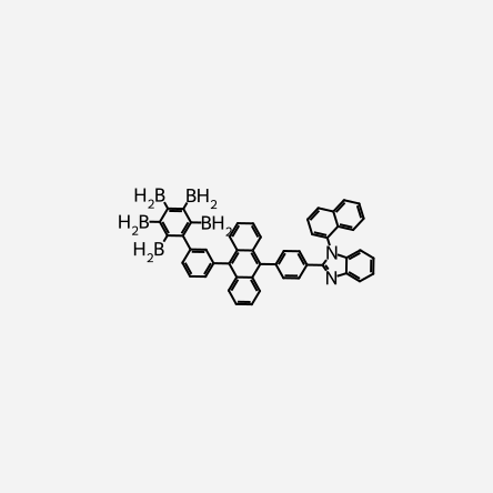 Bc1c(B)c(B)c(-c2cccc(-c3c4ccccc4c(-c4ccc(-c5nc6ccccc6n5-c5cccc6ccccc56)cc4)c4ccccc34)c2)c(B)c1B